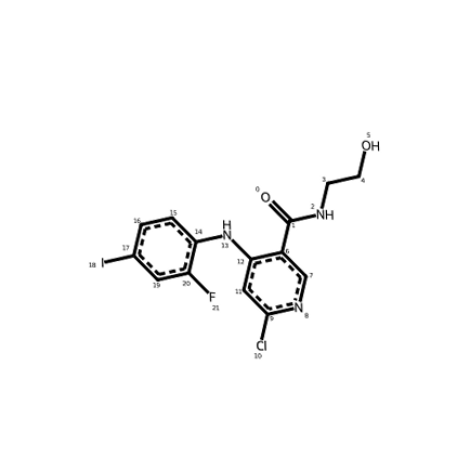 O=C(NCCO)c1cnc(Cl)cc1Nc1ccc(I)cc1F